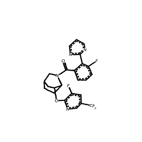 O=C(c1cccc(F)c1-c1ncccn1)N1CC2CCC1C(Oc1ncc(C(F)(F)F)cc1F)C2